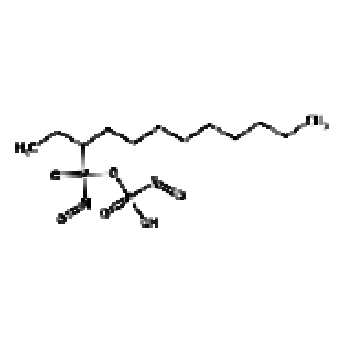 CCCCCCCCCC(CC)P(=O)(N=O)OP(=O)(O)N=O